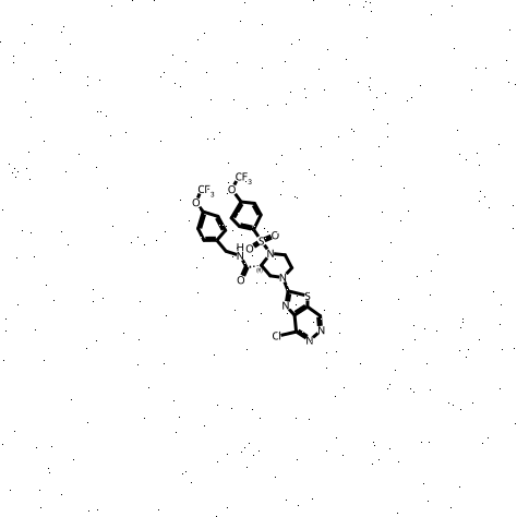 O=C(NCc1ccc(OC(F)(F)F)cc1)[C@H]1CN(c2nc3c(Cl)nncc3s2)CCN1S(=O)(=O)c1ccc(OC(F)(F)F)cc1